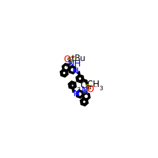 CC(C)(C)[S@@+]([O-])N[C@@H]1CCc2ccccc2C12CCN(Cc1cccc(CC(C)(C)[S@@+]([O-])/N=C3\CCc4ccccc4C34CCN(Cc3ccccc3)CC4)c1)CC2